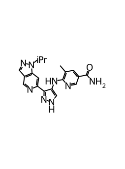 Cc1cc(C(N)=O)cnc1Nc1c[nH]nc1-c1cc2c(cn1)cnn2C(C)C